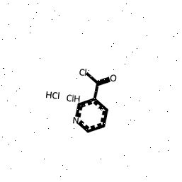 Cl.Cl.O=C(Cl)c1cccnc1